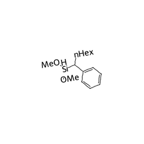 CCCCCCC(c1ccccc1)[SiH](OC)OC